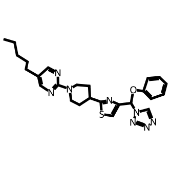 CCCCCc1cnc(N2CCC(c3nc(C(Oc4ccccc4)n4cnnn4)cs3)CC2)nc1